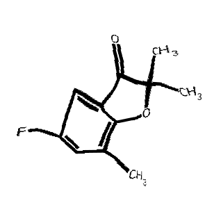 Cc1cc(F)cc2c1OC(C)(C)C2=O